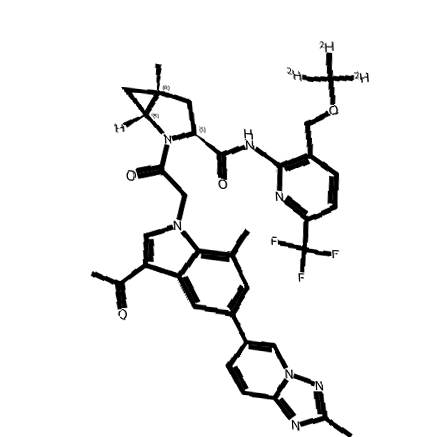 [2H]C([2H])([2H])OCc1ccc(C(F)(F)F)nc1NC(=O)[C@@H]1C[C@@]2(C)C[C@H]2N1C(=O)Cn1cc(C(C)=O)c2cc(-c3ccc4nc(C)nn4c3)cc(C)c21